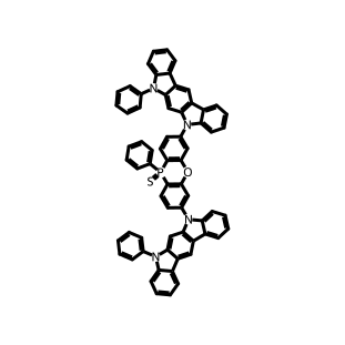 S=P1(c2ccccc2)c2ccc(-n3c4ccccc4c4cc5c6ccccc6n(-c6ccccc6)c5cc43)cc2Oc2cc(-n3c4ccccc4c4cc5c6ccccc6n(-c6ccccc6)c5cc43)ccc21